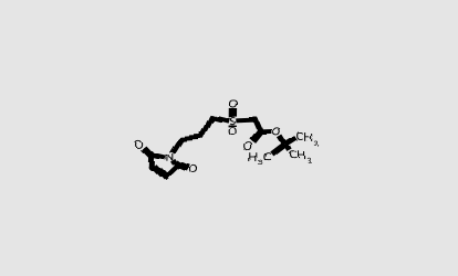 CC(C)(C)OC(=O)CS(=O)(=O)CCCN1C(=O)C=CC1=O